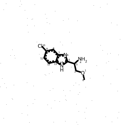 COCC(N)c1nc2cc(Cl)ccc2[nH]1